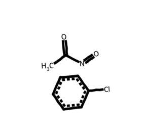 CC(=O)N=O.Clc1ccccc1